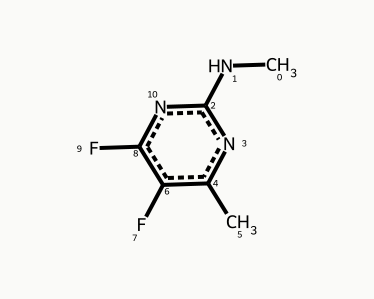 CNc1nc(C)c(F)c(F)n1